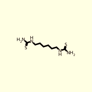 NC(=S)NCCCCCCNC(N)=S